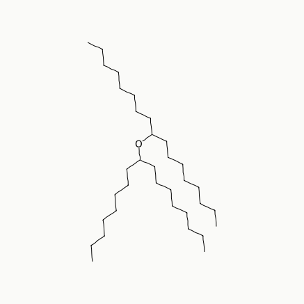 CCCCCCCCC(CCCCCCCC)OC(CCCCCCCC)CCCCCCCC